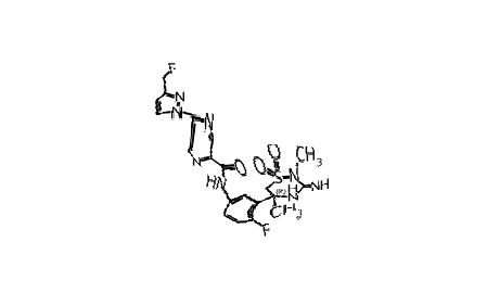 CN1C(=N)N[C@](C)(c2cc(NC(=O)c3cnc(-n4ccc(CF)n4)cn3)ccc2F)CS1(=O)=O